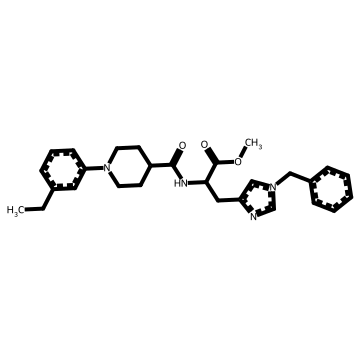 CCc1cccc(N2CCC(C(=O)NC(Cc3cn(Cc4ccccc4)cn3)C(=O)OC)CC2)c1